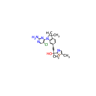 Cc1cnc(C(C)(O)C#Cc2ccc3c(c2)N(c2nc(N)ncc2Cl)CC3(C)C)s1